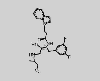 COCC(C)NC[C@@H](O)[C@H](Cc1cc(F)cc(F)c1)NC(=O)CCn1ccc2ccccc21